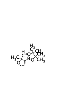 CC1(C)OCC=C1B1OC(C)(C)C(C)(C)O1